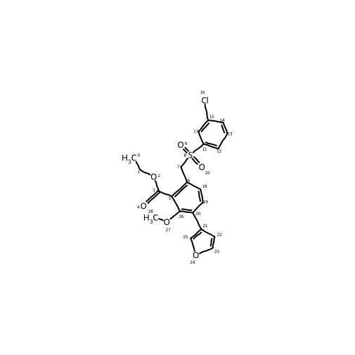 CCOC(=O)c1c(CS(=O)(=O)c2cccc(Cl)c2)ccc(-c2ccoc2)c1OC